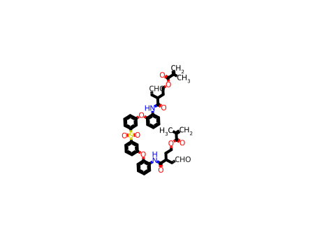 C=C(C)C(=O)OCCC(CC=O)C(=O)Nc1ccccc1Oc1cccc(S(=O)(=O)c2cccc(Oc3ccccc3NC(=O)C(CC=O)CCOC(=O)C(=C)C)c2)c1